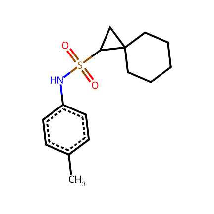 Cc1ccc(NS(=O)(=O)C2CC23CCCCC3)cc1